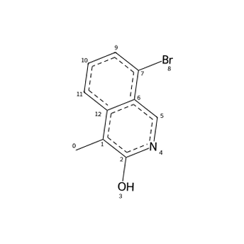 Cc1c(O)ncc2c(Br)cccc12